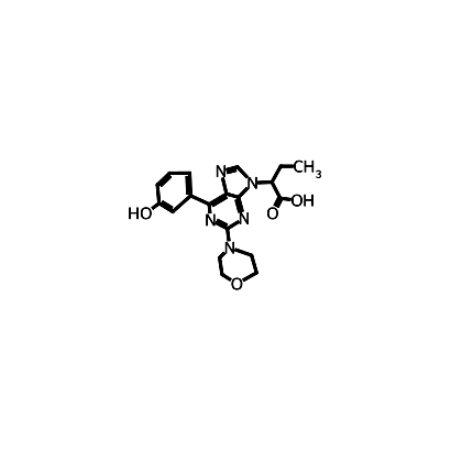 CCC(C(=O)O)n1cnc2c(-c3cccc(O)c3)nc(N3CCOCC3)nc21